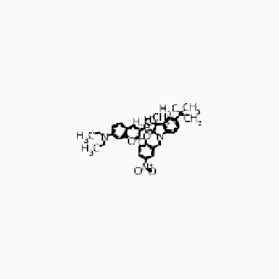 CCN(CC)c1ccc2cc(BC34Oc5ccc([N+](=O)[O-])cc5CN3c3ccc(C(C)(C)C)cc3C4(C)C)c(=O)oc2c1